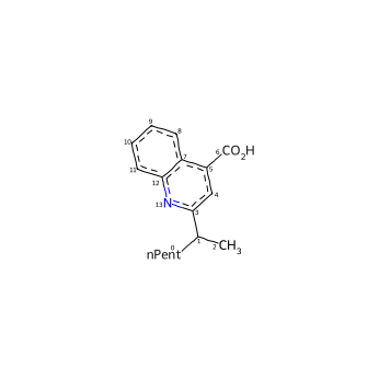 CCCCCC(C)c1cc(C(=O)O)c2ccccc2n1